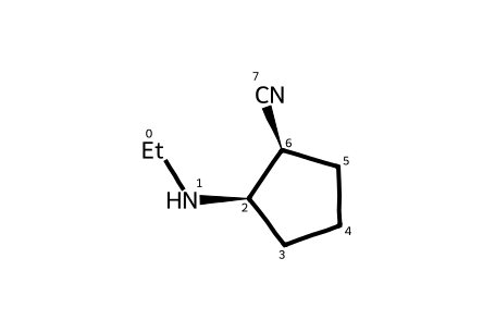 CCN[C@@H]1CCC[C@@H]1C#N